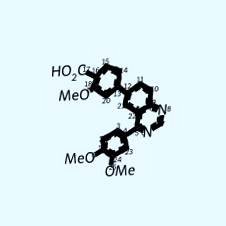 COc1ccc(-c2ncnc3ccc(-c4ccc(C(=O)O)c(OC)c4)cc23)cc1OC